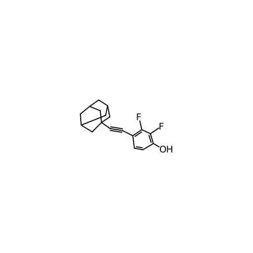 Oc1ccc(C#CC23CC4CC(CC(C4)C2)C3)c(F)c1F